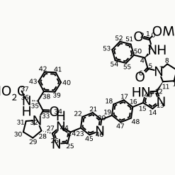 COC(=O)N[C@@H](C(=O)N1CCC[C@H]1c1ncc(-c2ccc(-c3ccc(-c4cnc([C@@H]5CCCN5C(=O)[C@H](NC(=O)O)c5ccccc5)[nH]4)cn3)cc2)[nH]1)c1ccccc1